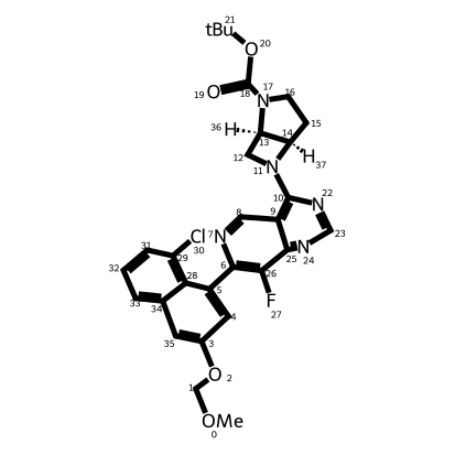 COCOc1cc(-c2ncc3c(N4C[C@@H]5[C@H]4CCN5C(=O)OC(C)(C)C)ncnc3c2F)c2c(Cl)cccc2c1